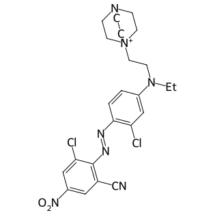 CCN(CC[N+]12CCN(CC1)CC2)c1ccc(/N=N/c2c(Cl)cc([N+](=O)[O-])cc2C#N)c(Cl)c1